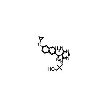 CC(C)(CO)Cn1nc(-c2ccc3cc(OC4CC4)ccc3c2)c2c(N)ncnc21